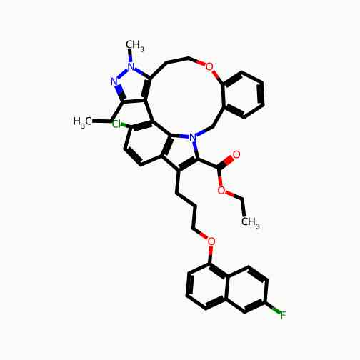 CCOC(=O)c1c(CCCOc2cccc3cc(F)ccc23)c2ccc(Cl)c3c2n1Cc1ccccc1OCCc1c-3c(CC)nn1C